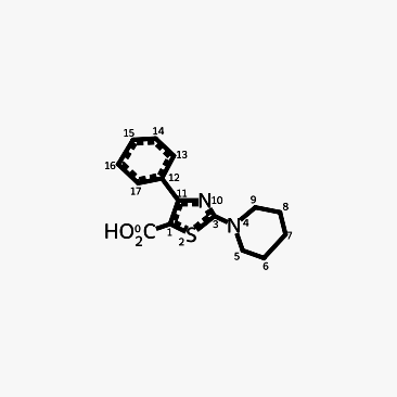 O=C(O)c1sc(N2CCCCC2)nc1-c1ccccc1